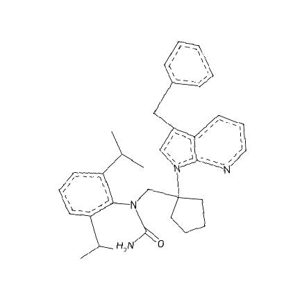 CC(C)c1cccc(C(C)C)c1N(CC1(n2cc(Cc3ccccc3)c3cccnc32)CCCC1)C(N)=O